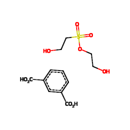 O=C(O)c1cccc(C(=O)O)c1.O=S(=O)(CCO)OCCO